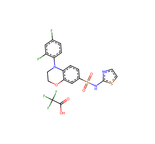 O=C(O)C(F)(F)F.O=S(=O)(Nc1nccs1)c1ccc2c(c1)OCCN2c1ccc(F)cc1F